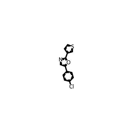 Clc1ccc(-c2cnc(-c3ccsc3)o2)cc1